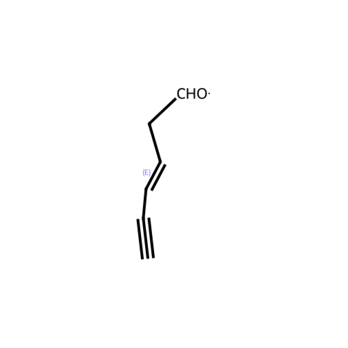 C#C/C=C/C[C]=O